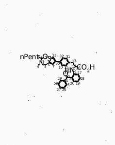 CCCCCC(=O)N(C)Cc1cc(-c2ccc(CC(Nc3ccccc3C(=O)c3ccccc3)C(=O)O)cc2)cs1